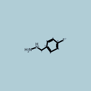 NNCc1ccc(F)cc1